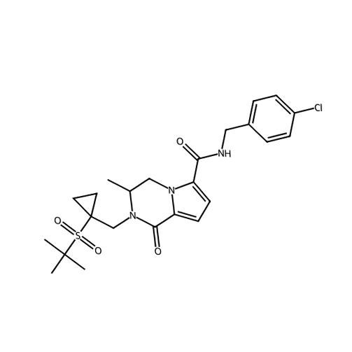 CC1Cn2c(C(=O)NCc3ccc(Cl)cc3)ccc2C(=O)N1CC1(S(=O)(=O)C(C)(C)C)CC1